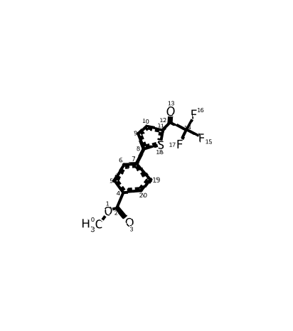 COC(=O)c1ccc(-c2ccc(C(=O)C(F)(F)F)s2)cc1